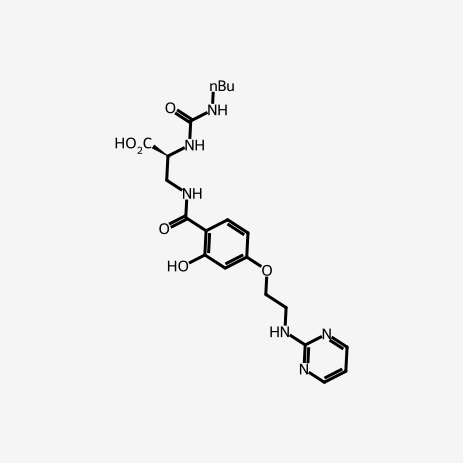 CCCCNC(=O)N[C@@H](CNC(=O)c1ccc(OCCNc2ncccn2)cc1O)C(=O)O